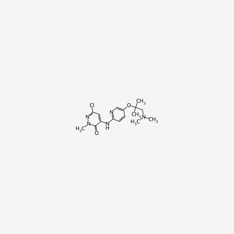 CN(C)CC(C)(C)Oc1ccc(Nc2cc(Cl)nn(C)c2=O)nc1